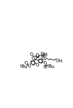 CC(C)(C)C(=O)Oc1ccc2c(c1)Oc1cc(OC(=O)C(C)(C)C)ccc1C21OC(=O)c2ccc(P(=O)(O)OCCCCCCO)cc21